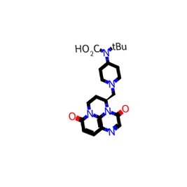 CC(C)(C)N(C(=O)O)C1CCN(C[C@@H]2CCn3c(=O)ccc4ncc(=O)n2c43)CC1